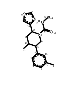 Cc1cccc(C2CN(C(=O)OC(C)(C)C)C(c3cscn3)CC2C)c1